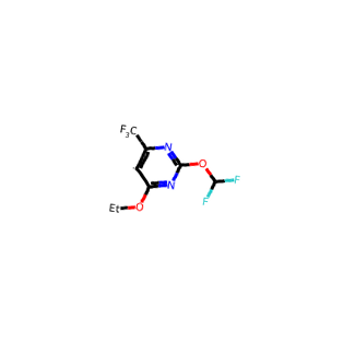 CCOc1[c]c(C(F)(F)F)nc(OC(F)F)n1